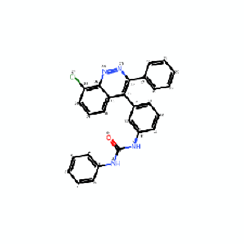 O=C(Nc1ccccc1)Nc1cccc(-c2c(-c3ccccc3)nnc3c(Cl)cccc23)c1